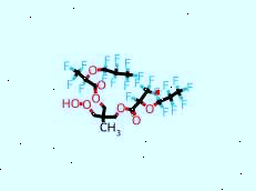 CC(COO)(COC(=O)C(F)(OC(F)(F)C(F)(F)C(F)(F)F)C(F)(F)F)COC(=O)C(F)(OC(F)(F)C(F)(F)C(F)(F)F)C(F)(F)F